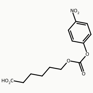 O=C(O)CCCCCOC(=O)Oc1ccc([N+](=O)[O-])cc1